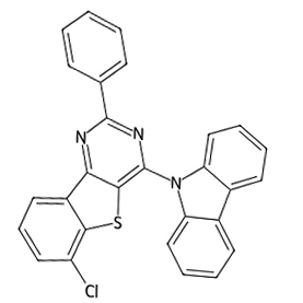 Clc1cccc2c1sc1c(-n3c4ccccc4c4ccccc43)nc(-c3ccccc3)nc12